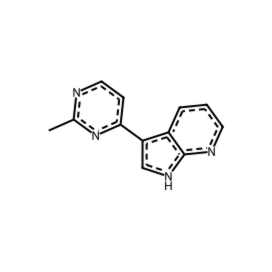 Cc1nccc(-c2c[nH]c3ncccc23)n1